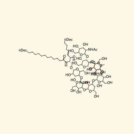 CCCCCCCCCCCCC/C=C/[C@@H](O)[C@H](CO[C@@H]1OC(CO)[C@@H](O[C@@H]2OC(CO)[C@H](O)[C@H](O[C@@H]3OC(CO)[C@@H](O)[C@H](O[C@@H]4OC(CO)[C@H](O)[C@H](O[C@@H]5OC(CO)[C@@H](O)[C@H](O[C@@H]6OC(CO)[C@H](O)[C@H](O[C@H]7OC(CO)[C@H](O)[C@H](O)C7NC(C)=O)C6O[C@H]6OC(C)[C@@H](O)C(O)[C@@H]6O)C5NC(C)=O)C4O)C3NC(C)=O)C2O)[C@H](O)C1O)NC(=O)CCCCCCCCCCCCCCCCCCCCC